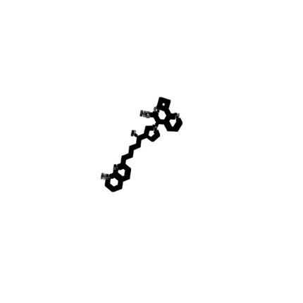 O=C(O)[C@@H](c1cccnc1C1CCC1)N1CC[C@@H]([C@@H](F)CCCCc2ccc3c(n2)NCCC3)C1